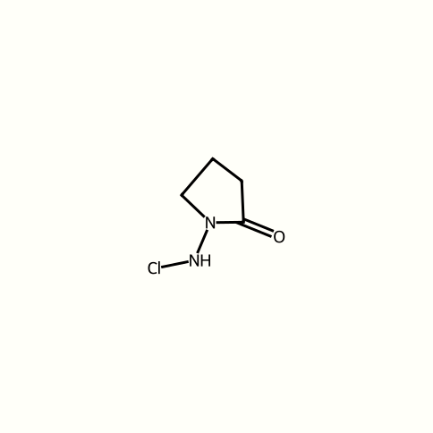 O=C1CCCN1NCl